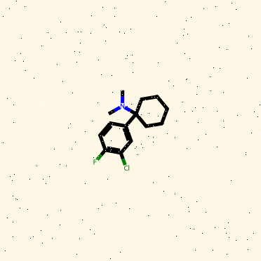 CN(C)C1(c2ccc(F)c(Cl)c2)C[CH]CCC1